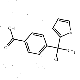 CC(Cl)(c1ccc(C(=O)O)cc1)c1cccs1